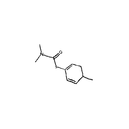 CC1C=CC(SC(=O)N(C)C)=CC1